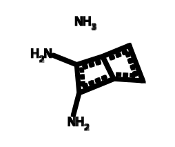 N.Nc1c2ccc-2c1N